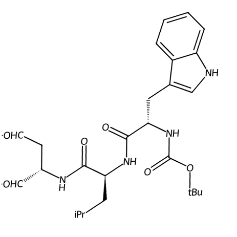 CC(C)C[C@H](NC(=O)[C@H](Cc1c[nH]c2ccccc12)NC(=O)OC(C)(C)C)C(=O)N[C@H]([C]=O)C[C]=O